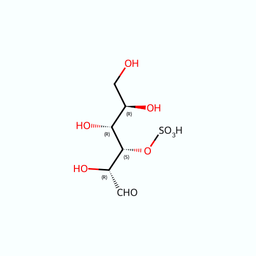 O=C[C@H](O)[C@@H](OS(=O)(=O)O)[C@H](O)[C@H](O)CO